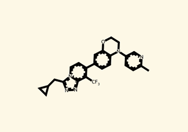 Cc1ccc(N2CCOc3cc(-c4ccn5c(CC6CC6)nnc5c4C(F)(F)F)ccc32)cn1